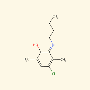 CCCCN=C1C(C)=C(Cl)C=C(C)C1O